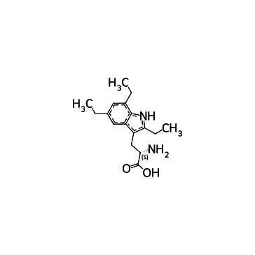 CCc1cc(CC)c2[nH]c(CC)c(C[C@H](N)C(=O)O)c2c1